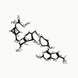 CNc1nc(NC2CCN(Cc3ccc4c(cc(C#N)n4CC45CC(NC(=O)OC(C)(C)C)(C4)C5)c3C)CC2)c2cc(CC(F)(F)F)sc2n1